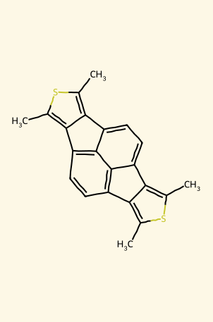 Cc1sc(C)c2c1-c1ccc3c4c(ccc-2c14)-c1c(C)sc(C)c1-3